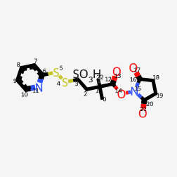 CC(CCSSc1ccccn1)(C(=O)ON1C(=O)CCC1=O)S(=O)(=O)O